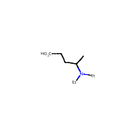 CCN(CC)C(C)CCC(=O)O